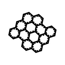 c1cc2cc3ccc4ccc5c6cccc7cc8ccc9ccc%10c(c1)c2c1c3c4c5c2c(c76)c8c9c%10c12